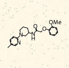 COc1ccccc1OCC(=O)NC1CCCN(c2ccc(C)cn2)C1